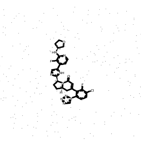 O=C1C=C(c2c(-n3cnnn3)ccc(Cl)c2F)C[C@H]2CC[C@@H](c3ncc(-c4ccnc(N[C@H]5CCOC5)c4F)[nH]3)N12